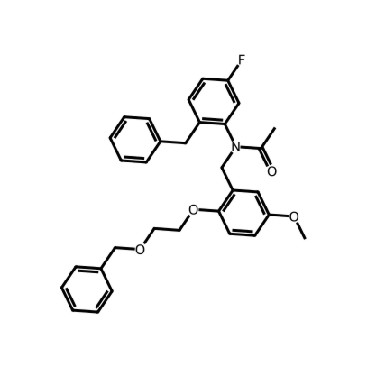 COc1ccc(OCCOCc2ccccc2)c(CN(C(C)=O)c2cc(F)ccc2Cc2ccccc2)c1